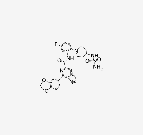 NS(=O)(=O)NC1CCN(c2ccc(F)cc2NC(=O)c2cn3ccnc3c(-c3ccc4c(c3)OCCO4)n2)CC1